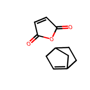 C1=C2CCC(C1)C2.O=C1C=CC(=O)O1